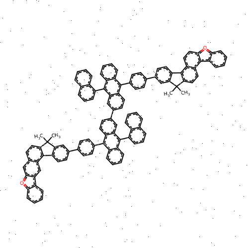 CC1(C)c2cc(-c3ccc(-c4c5ccccc5c(-c5cccc6ccccc56)c5cc(-c6ccc7c(-c8ccc(-c9ccc%10c(c9)C(C)(C)c9ccc%11c(ccc%12oc%13ccccc%13c%12%11)c9-%10)cc8)c8ccccc8c(-c8cccc9ccccc89)c7c6)ccc45)cc3)ccc2-c2c1ccc1cc3oc4ccccc4c3cc21